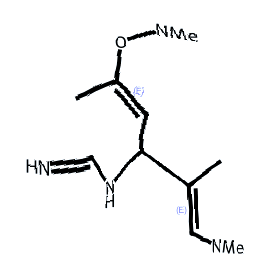 CN/C=C(\C)C(/C=C(\C)ONC)NC=N